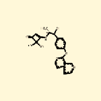 CCCC1(CCC)C(=O)C=C1N[C@H](C(=O)O)C(CC)c1ccc(Oc2nccc3ccncc23)cc1